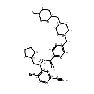 CN1CCC(CN2CCN(Cc3ccc(C(=O)NN(CC4CCCC4)c4nc(C#N)ncc4Br)cc3)CC2)CC1